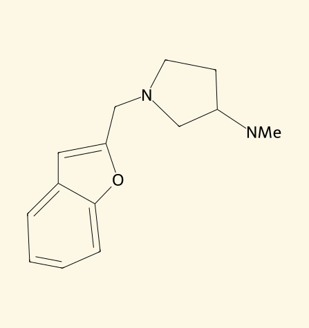 CNC1CCN(Cc2cc3ccccc3o2)C1